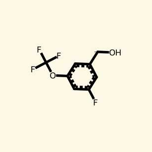 O[CH]c1cc(F)cc(OC(F)(F)F)c1